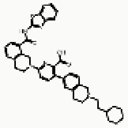 O=C(Nc1nc2ccccc2s1)c1cccc2c1CN(c1ccc(-c3ccc4c(c3)CCN(CCC3CCCCC3)C4)c(C(=O)O)n1)CC2